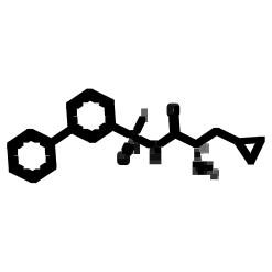 N[C@@H](CC1CC1)C(=O)N[SH](=O)(I)c1cccc(-c2ccccc2)c1